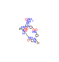 CC(C)[C@H](NC(=O)CCCCCNC(=O)c1ccc2nc(CBr)cnc2c1)C(=O)N[C@@H](CCCNC(N)=O)C(=O)Nc1ccc(COC(=O)NCc2ccccc2)cc1